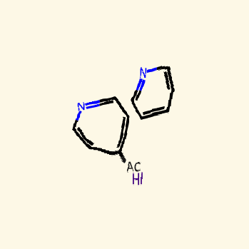 CC(=O)c1ccncc1.I.c1ccncc1